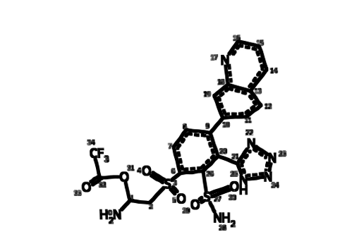 NC(CS(=O)(=O)c1ccc(-c2ccc3cccnc3c2)c(-c2nnn[nH]2)c1S(N)(=O)=O)OC(=O)C(F)(F)F